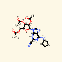 CC(=O)OCC1OC(n2cnc3c(NC4CCCC4)nc(C#N)nc32)C(OC(C)=O)C1OC(C)=O